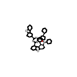 C1=CC2C(c3ccccc3N2c2ccccc2)c2c1oc1cccc(-c3nc(-c4cccc(-c5ccccc5)c4)nc(-c4ccc5oc6ccccc6c5c4)n3)c21